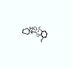 O=C(O)c1cccc(F)c1OCN1CCCC1